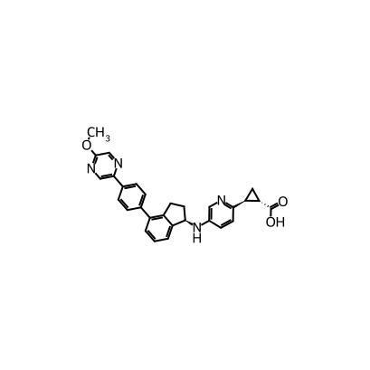 COc1cnc(-c2ccc(-c3cccc4c3CC[C@H]4Nc3ccc([C@H]4C[C@@H]4C(=O)O)nc3)cc2)cn1